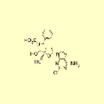 C#C[C@]1(CO)O[C@@H](n2ccc3c(N)nc(Cl)nc32)C[C@H]1C(OC(=O)O)c1ccccc1